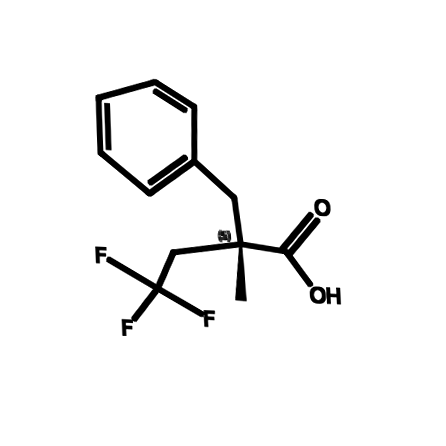 C[C@](Cc1ccccc1)(CC(F)(F)F)C(=O)O